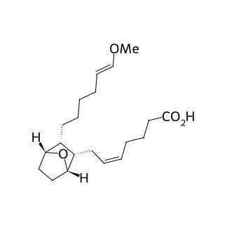 COC=CCCCC[C@@H]1[C@H](C/C=C\CCCC(=O)O)[C@@H]2CC[C@H]1O2